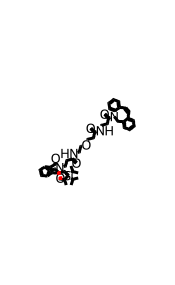 CC(C)[Si](CCCC1C2C=CC1C1C(=O)N(CCC(=O)NCCOCCC(=O)NCCC(=O)N3Cc4ccccc4C#Cc4ccccc43)C(=O)C21)(C(C)C)C(C)C